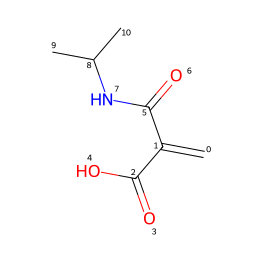 C=C(C(=O)O)C(=O)NC(C)C